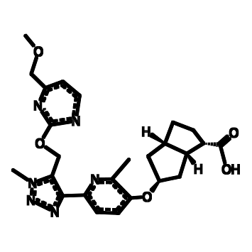 COCc1ccnc(OCc2c(-c3ccc(O[C@H]4C[C@@H]5CC[C@H](C(=O)O)[C@@H]5C4)c(C)n3)nnn2C)n1